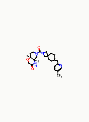 O=C1CO[C@@H]2CCN(C(=O)N3CC4(CCC(Cc5ccc(C(F)(F)F)cn5)CC4)C3)C[C@@H]2N1